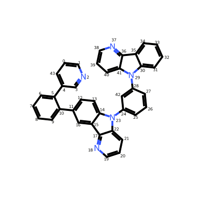 c1cncc(-c2ccccc2-c2ccc3c(c2)c2ncccc2n3-c2cccc(-n3c4ccccc4c4ncccc43)c2)c1